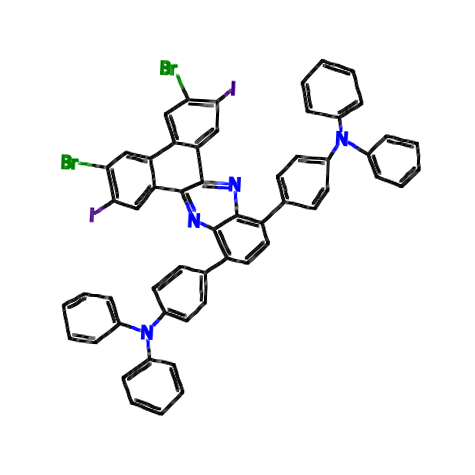 Brc1cc2c3cc(Br)c(I)cc3c3nc4c(-c5ccc(N(c6ccccc6)c6ccccc6)cc5)ccc(-c5ccc(N(c6ccccc6)c6ccccc6)cc5)c4nc3c2cc1I